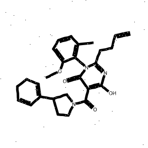 C=CCCc1nc(O)c(C(=O)N2CCC(C3=CCCC=C3)C2)c(=O)n1-c1c(C)cccc1OC